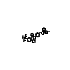 O=C(Oc1ccc(CO[N+](=O)[O-])cc1)c1cc(C(F)(F)F)ccc1Cl